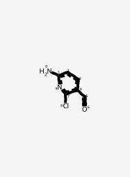 Nc1ccc(C=O)c(Cl)n1